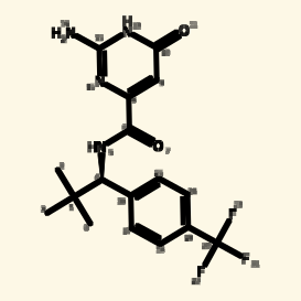 CC(C)(C)[C@@H](NC(=O)c1cc(=O)[nH]c(N)n1)c1ccc(C(F)(F)F)cc1